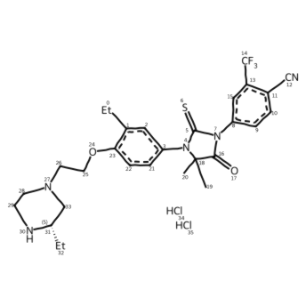 CCc1cc(N2C(=S)N(c3ccc(C#N)c(C(F)(F)F)c3)C(=O)C2(C)C)ccc1OCCN1CCN[C@@H](CC)C1.Cl.Cl